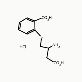 Cl.NC(CSc1ccccc1C(=O)O)CC(=O)O